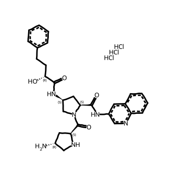 Cl.Cl.Cl.N[C@H]1CN[C@H](C(=O)N2C[C@@H](NC(=O)[C@H](O)CCc3ccccc3)C[C@H]2C(=O)Nc2cnc3ccccc3c2)C1